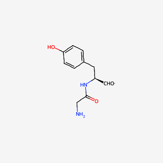 NCC(=O)N[C@H]([C]=O)Cc1ccc(O)cc1